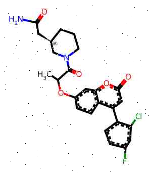 CC(Oc1ccc2c(-c3ccc(F)cc3Cl)cc(=O)oc2c1)C(=O)N1CCC[C@H](CC(N)=O)C1